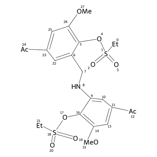 CCS(=O)(=O)Oc1c(CNc2cc(C(C)=O)cc(OC)c2OS(=O)(=O)CC)cc(C(C)=O)cc1OC